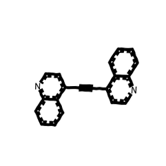 C(#Cc1ccnc2ccccc12)c1ccnc2ccccc12